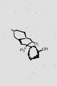 CC1CN2CCNCC2CC1(C)c1cccc(O)c1